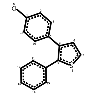 Clc1ccc(-c2ccsc2-c2ccccc2)cc1